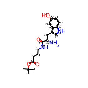 CC(C)(C)OC(=O)CCCNC(=O)[C@@H](N)Cc1c[nH]c2ccc(O)cc12